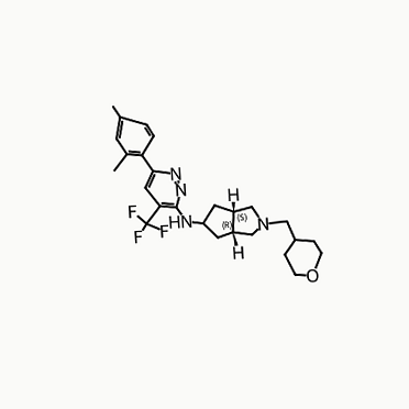 Cc1ccc(-c2cc(C(F)(F)F)c(NC3C[C@@H]4CN(CC5CCOCC5)C[C@@H]4C3)nn2)c(C)c1